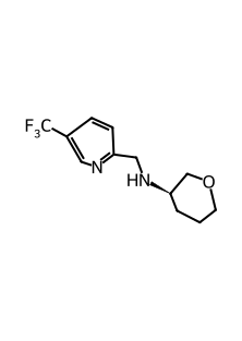 FC(F)(F)c1ccc(CN[C@@H]2CCCOC2)nc1